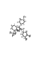 Fc1ccc(-c2c3cccc(C(F)(F)F)c3nn2Cc2ccc(F)c(F)c2)cc1